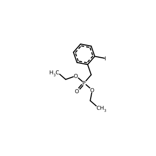 CCOP(=O)(Cc1ccccc1I)OCC